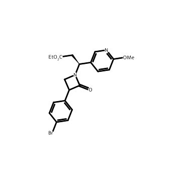 CCOC(=O)C[C@@H](c1ccc(OC)nc1)N1CC(c2ccc(Br)cc2)C1=O